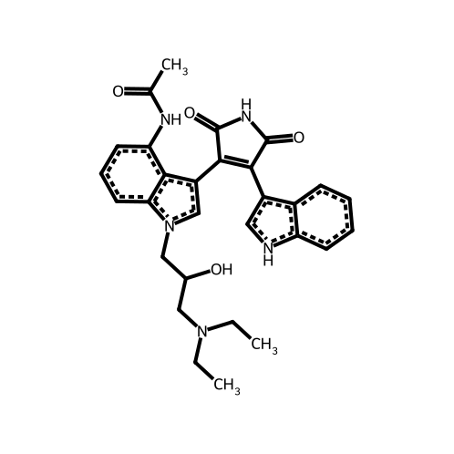 CCN(CC)CC(O)Cn1cc(C2=C(c3c[nH]c4ccccc34)C(=O)NC2=O)c2c(NC(C)=O)cccc21